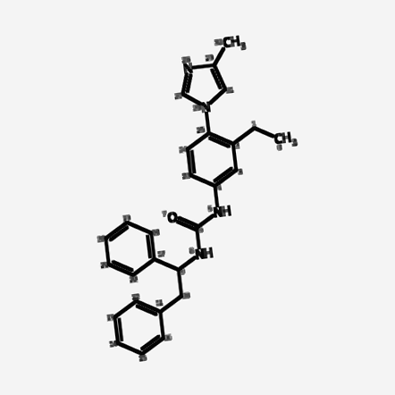 CCc1cc(NC(=O)NC(Cc2ccccc2)c2ccccc2)ccc1-n1cnc(C)c1